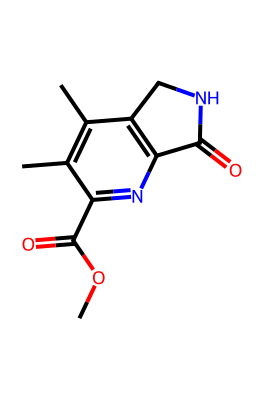 COC(=O)c1nc2c(c(C)c1C)CNC2=O